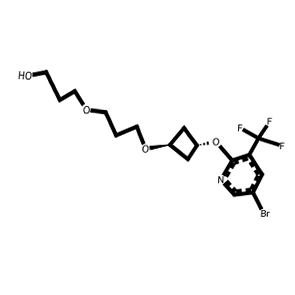 OCCCOCCCO[C@H]1C[C@H](Oc2ncc(Br)cc2C(F)(F)F)C1